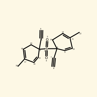 C#CC1(S(=O)(=O)C2(C#C)C=CC(C)=CC2)C=CC(C)=CC1